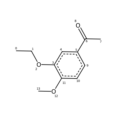 CCOc1cc(C(C)=O)ccc1OC